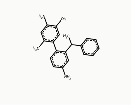 Cc1cc(N)c(O)cc1-c1ccc(N)cc1C(C)c1ccccc1